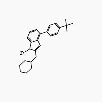 CC(C)(C)c1ccc(-c2cccc3c2C=C(CC2CCCCC2)[CH]3[Zr])cc1